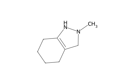 CN1CC2=C(CCCC2)N1